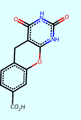 O=C(O)c1ccc2c(c1)Oc1[nH]c(=O)[nH]c(=O)c1C2